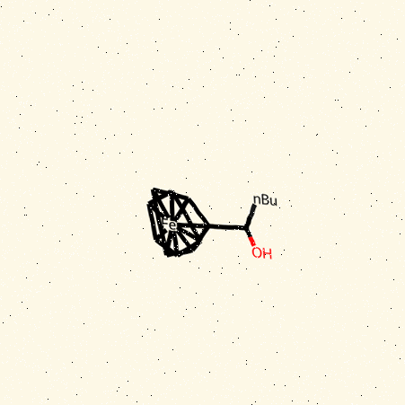 CCCCC(O)[C]12[CH]3[CH]4[CH]5[CH]1[Fe]45321678[CH]2[CH]1[CH]6[CH]7[CH]28